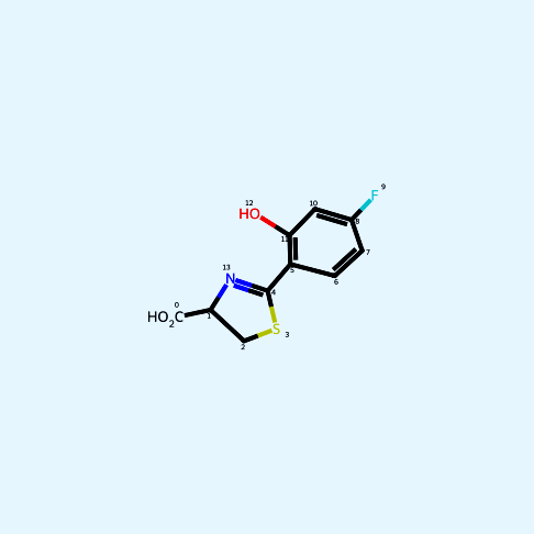 O=C(O)C1CSC(c2ccc(F)cc2O)=N1